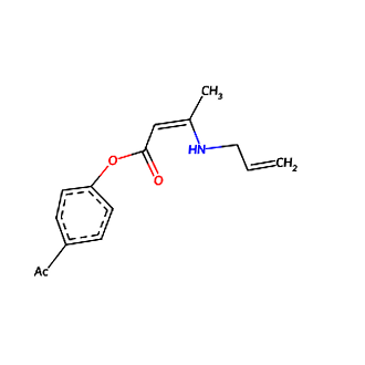 C=CCNC(C)=CC(=O)Oc1ccc(C(C)=O)cc1